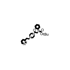 CC(C)(C)OC(=O)N(CC(=O)N1CCN(CCc2cccnn2)CC1)c1ccccc1